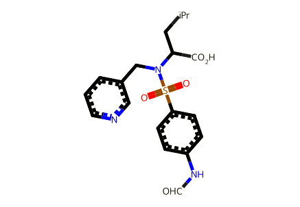 CC(C)CC(C(=O)O)N(Cc1cccnc1)S(=O)(=O)c1ccc(NC=O)cc1